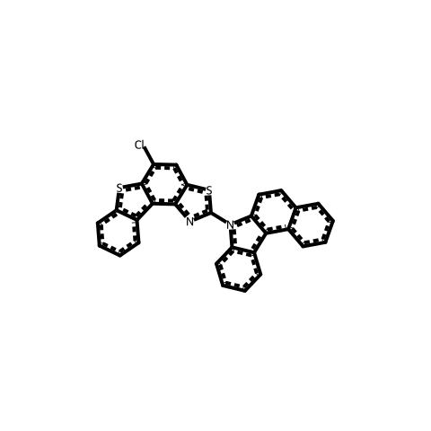 Clc1cc2sc(-n3c4ccccc4c4c5ccccc5ccc43)nc2c2c1sc1ccccc12